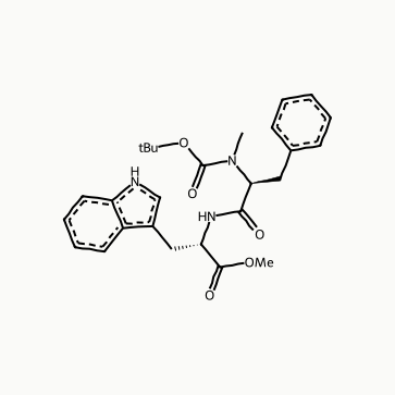 COC(=O)[C@H](Cc1c[nH]c2ccccc12)NC(=O)[C@H](Cc1ccccc1)N(C)C(=O)OC(C)(C)C